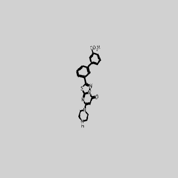 O=C(O)c1cccc(-c2cccc(-c3nn4c(=O)cc(N5CCNCC5)nc4s3)c2)c1